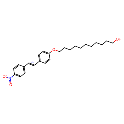 O=[N+]([O-])c1ccc(/C=C/c2ccc(OCCCCCCCCCCCO)cc2)cc1